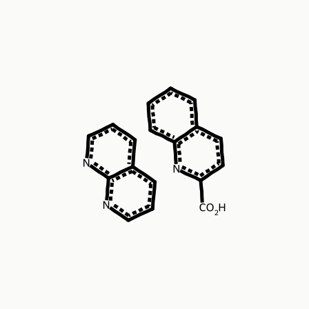 O=C(O)c1ccc2ccccc2n1.c1cnc2ncccc2c1